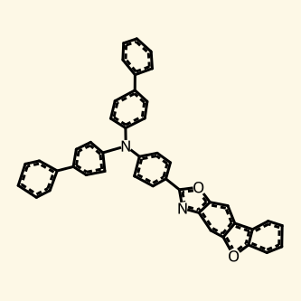 c1ccc(-c2ccc(N(c3ccc(-c4ccccc4)cc3)c3ccc(-c4nc5cc6oc7ccccc7c6cc5o4)cc3)cc2)cc1